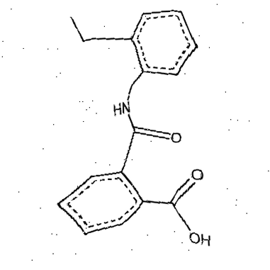 CCc1ccccc1NC(=O)c1ccccc1C(=O)O